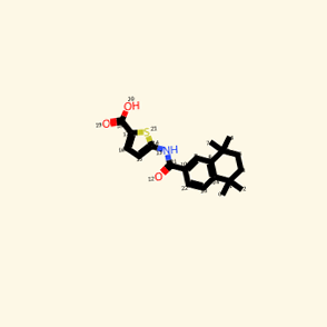 CC1(C)CCC(C)(C)c2cc(C(=O)Nc3ccc(C(=O)O)s3)ccc21